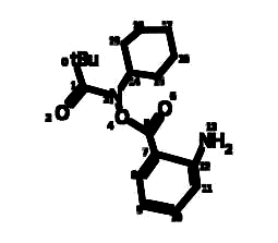 CC(C)(C)C(=O)N(OC(=O)c1ccccc1N)C1CCCCC1